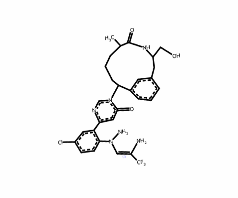 CC1CCCC(n2cnc(-c3cc(Cl)ccc3N(N)/C=C(\N)C(F)(F)F)cc2=O)c2cccc(c2)CC(CO)NC1=O